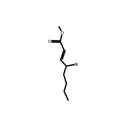 CCCCC(Br)C=CC(=O)OC